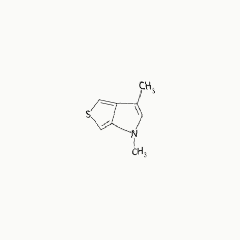 Cc1cn(C)c2cscc12